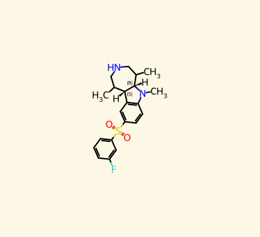 CC1CNCC(C)[C@H]2[C@@H]1c1cc(S(=O)(=O)c3cccc(F)c3)ccc1N2C